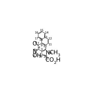 Cn1cc(/C(=N\O)C(=O)c2cccc3ccccc23)cc1C(=O)O